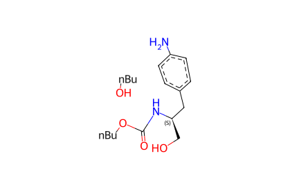 CCCCO.CCCCOC(=O)N[C@H](CO)Cc1ccc(N)cc1